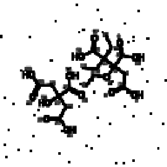 CCOC(CC(=O)O)(C(=O)O)C(CC)(CC)C(=O)O.O=C(O)CC(O)(CC(=O)O)C(=O)O